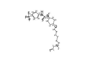 C=CCN(C)CCCCCCOC1CCC(N(C)C(=S)Nc2ccc(C(F)(F)F)cc2)CC1